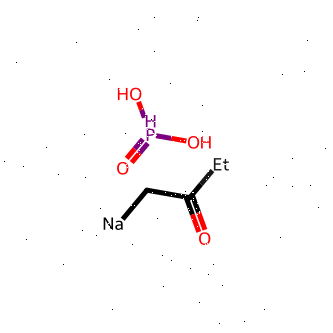 CCC(=O)[CH2][Na].O=[PH](O)O